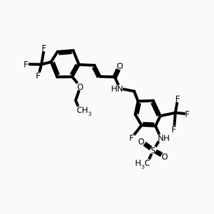 CCOc1cc(C(F)(F)F)ccc1/C=C/C(=O)NCc1cc(F)c(NS(C)(=O)=O)c(C(F)(F)F)c1